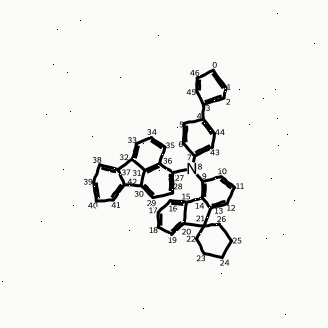 c1ccc(-c2ccc(N(c3cccc4c3-c3ccccc3C43CCCCC3)c3ccc4c5c(cccc35)-c3ccccc3-4)cc2)cc1